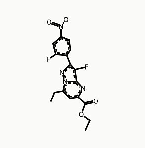 CCOC(=O)c1cc(CC)n2nc(-c3ccc([N+](=O)[O-])cc3F)c(F)c2n1